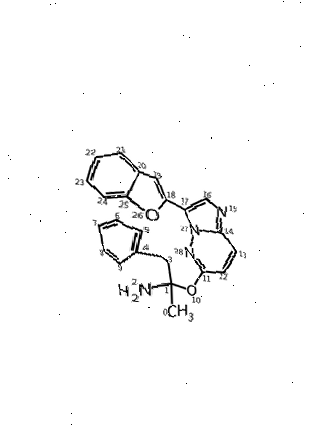 CC(N)(Cc1ccccc1)Oc1ccc2ncc(-c3cc4ccccc4o3)n2n1